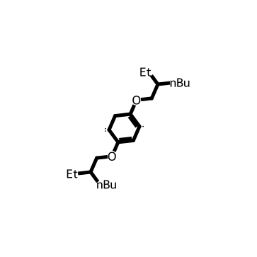 CCCCC(CC)COC1=[C]C=C(OCC(CC)CCCC)[C]C1